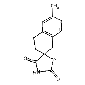 Cc1ccc2c(c1)CCC1(C2)NC(=O)NC1=O